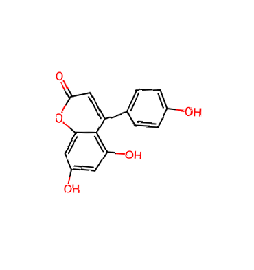 O=c1cc(-c2ccc(O)cc2)c2c(O)cc(O)cc2o1